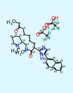 CCC(=O)CCCCCC(C(=O)N(C)CC1CCCCN1C)c1ncc(-c2ccc3ccccc3c2)[nH]1.O=C(O)C(F)(F)F.O=C(O)C(F)(F)F